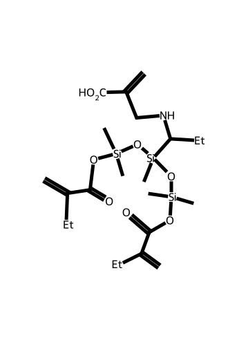 C=C(CNC(CC)[Si](C)(O[Si](C)(C)OC(=O)C(=C)CC)O[Si](C)(C)OC(=O)C(=C)CC)C(=O)O